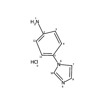 Cl.Nc1ccc(-n2ccnc2)cc1